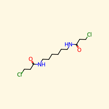 O=C(CCCl)NCCCCCCNC(=O)CCCl